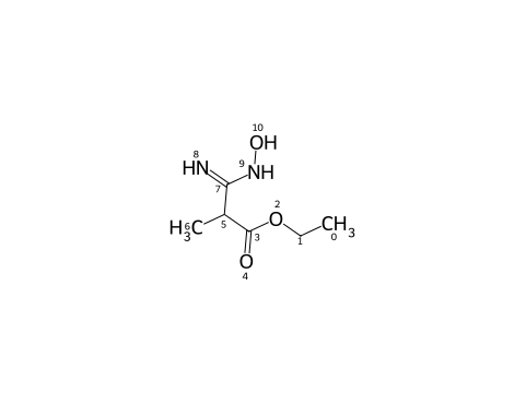 CCOC(=O)C(C)C(=N)NO